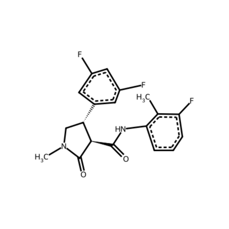 Cc1c(F)cccc1NC(=O)[C@H]1C(=O)N(C)C[C@@H]1c1cc(F)cc(F)c1